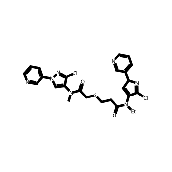 CCN(C(=O)CCSCC(=O)N(C)c1cn(-c2cccnc2)nc1Cl)C1=CC(c2cccnc2)N=C1Cl